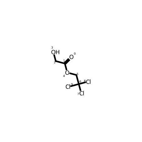 O=C(CO)OCC(Cl)(Cl)Cl